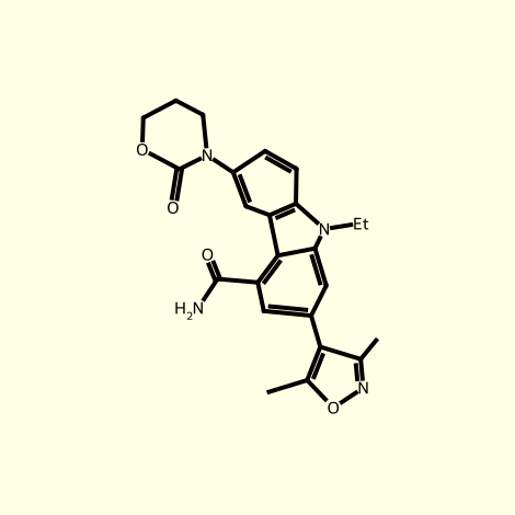 CCn1c2ccc(N3CCCOC3=O)cc2c2c(C(N)=O)cc(-c3c(C)noc3C)cc21